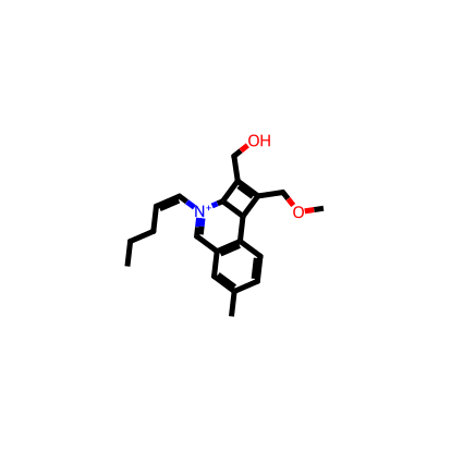 CCC/C=C\[N+]1=Cc2cc(C)ccc2C2C(COC)=C(CO)C21